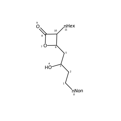 CCCCCCCCCCCC(O)CC1OC(=O)C1CCCCCC